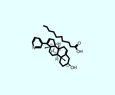 CCCCCCCCCC(=O)O.C[C@]12CC[C@H](O)CC1=CC[C@@H]1[C@@H]2CC[C@]2(C)C(c3cccnc3)=CC[C@@H]12